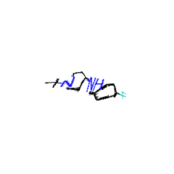 CC(C)(C)N1CCC(NCc2ccc(F)cc2)CC1